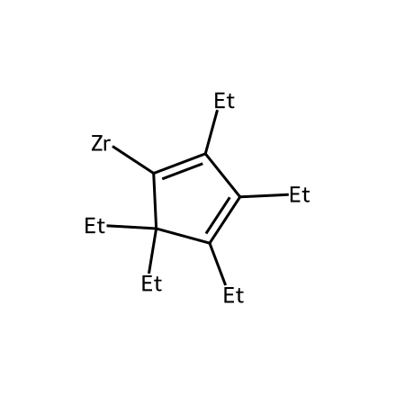 CCC1=[C]([Zr])C(CC)(CC)C(CC)=C1CC